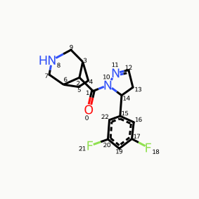 O=C(C1C2CCC1CNC2)N1N=CCC1c1cc(F)cc(F)c1